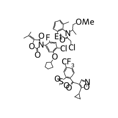 CC(C)=C1OC(=O)N(c2cc(OC3CCCC3)c(Cl)cc2F)C1=O.CCc1cccc(C)c1N(C(=O)CCl)C(C)COC.CS(=O)(=O)c1cc(C(F)(F)F)ccc1C(=O)c1cnoc1C1CC1